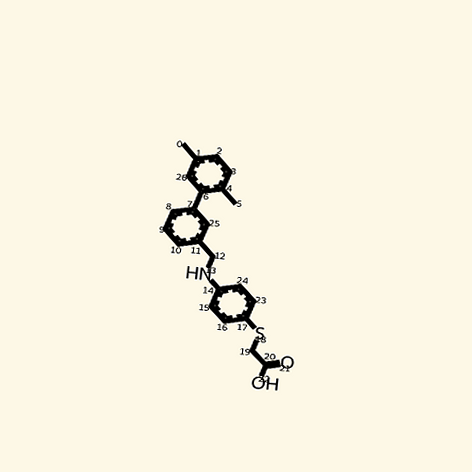 Cc1ccc(C)c(-c2cccc(CNc3ccc(SCC(=O)O)cc3)c2)c1